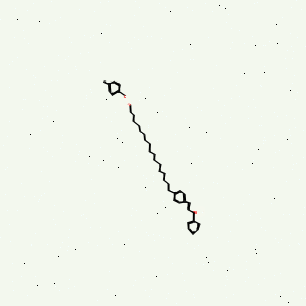 C=Cc1ccc(COCCCCCCCCCCCCCCCCCCc2ccc(/C=C/C(=O)c3ccccc3)cc2)cc1